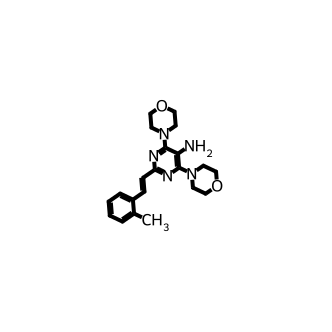 Cc1ccccc1C=Cc1nc(N2CCOCC2)c(N)c(N2CCOCC2)n1